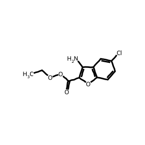 CCOOC(=O)c1oc2ccc(Cl)cc2c1N